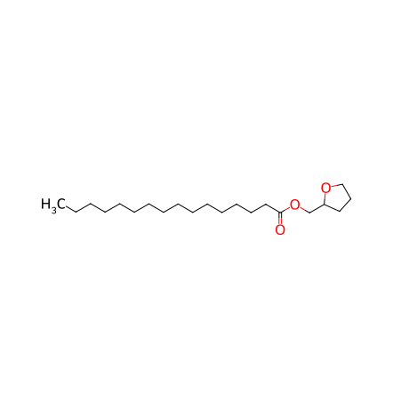 CCCCCCCCCCCCCCCC(=O)OCC1CCCO1